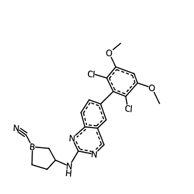 COc1cc(OC)c(Cl)c(-c2ccc3nc(NC4CCB(C#N)C4)ncc3c2)c1Cl